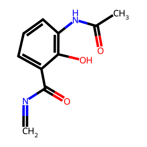 C=NC(=O)c1cccc(NC(C)=O)c1O